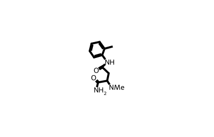 CNC(CC(=O)Nc1ccccc1C)C(N)=O